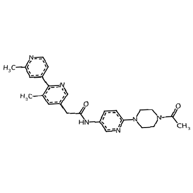 CC(=O)N1CCN(c2ccc(NC(=O)Cc3cnc(-c4ccnc(C)c4)c(C)c3)cn2)CC1